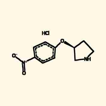 Cl.O=[N+]([O-])c1ccc(O[C@H]2CCNC2)cc1